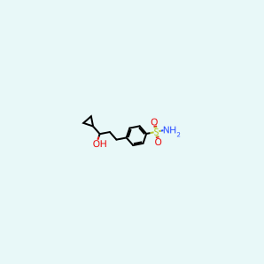 NS(=O)(=O)c1ccc(CCC(O)C2CC2)cc1